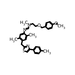 COc1ccc(COCCN(C)C=Nc2cc(C)c(Cc3nc(-c4ccc(C)cc4)cs3)cc2C)cc1